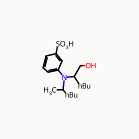 CCCCC(C)N(c1cccc(S(=O)(=O)O)c1)C(CO)CCCC